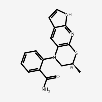 C[C@H]1CN(c2ccccc2C(N)=O)c2cc3cc[nH]c3nc2S1